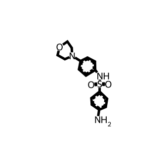 Nc1ccc(S(=O)(=O)Nc2ccc(N3CCOCC3)cc2)cc1